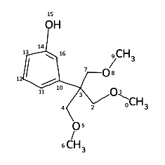 COCC(COC)(COC)c1cccc(O)c1